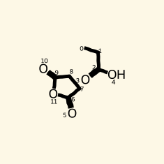 CCC(=O)O.O=C1CCC(=O)O1